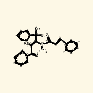 CCC(O)(c1ccccc1)C(C(N)C(=O)c1ccccc1)N(C)C(=O)C=Cc1ccccc1